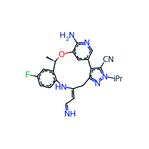 CC(C)n1nc2c(c1C#N)-c1cnc(N)c(c1)O[C@H](C)c1cc(F)ccc1N/C(=C\C=N)C2